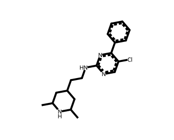 CC1CC(CCNc2ncc(Cl)c(-c3ccccc3)n2)CC(C)N1